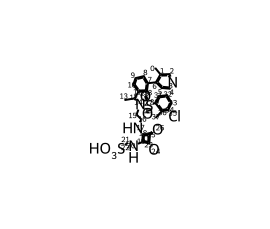 Cc1cnccc1-c1cccc(C(C)N(CCNc2c(NCS(=O)(=O)O)c(=O)c2=O)S(=O)(=O)c2cccc(Cl)c2C)c1